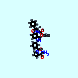 C[C@H](NC(=O)OC(C)(C)C)[C@H](Oc1ccc2c(cnn2-c2cccc(C(=O)N3CCC[C@@H]3C(N)=O)c2)c1)c1ccccc1